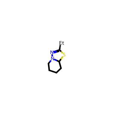 CCC1=NN2CCCCC2S1